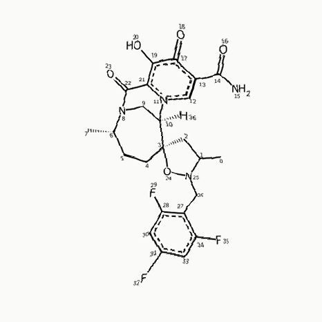 CC1C[C@@]2(CC[C@H](C)N3C[C@H]2n2cc(C(N)=O)c(=O)c(O)c2C3=O)ON1Cc1c(F)cc(F)cc1F